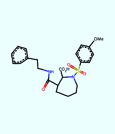 COc1ccc(S(=O)(=O)N2CCCCC(C(=O)NCCc3ccccc3)C2C(=O)O)cc1